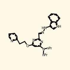 CCCN(CCC)c1cc(OCCc2ccccn2)nc(/C=N/Nc2c[nH]c3ccccc23)n1